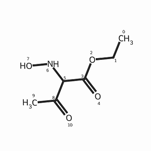 CCOC(=O)C(NO)C(C)=O